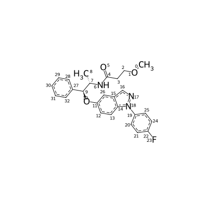 COCCC(=O)N[C@@H](C)[C@@H](Oc1ccc2c(cnn2-c2ccc(F)cc2)c1)c1ccccc1